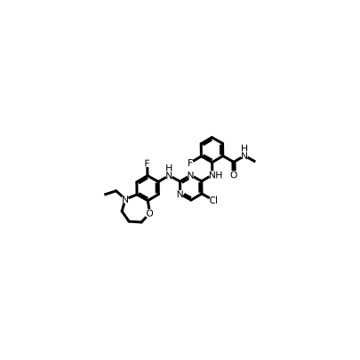 CCN1CCCOc2cc(Nc3ncc(Cl)c(Nc4c(F)cccc4C(=O)NC)n3)c(F)cc21